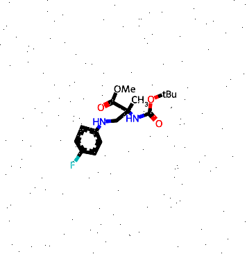 COC(=O)C(C)(CNc1ccc(F)cc1)NC(=O)OC(C)(C)C